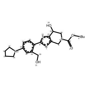 CC(C)(C)OC(=O)N1Cc2nc(-c3ccc(N4CCCC4)cc3CO)sc2C(O)C1